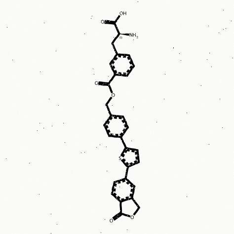 N[C@@H](Cc1cccc(C(=O)OCc2ccc(-c3ccc(-c4ccc5c(c4)COC5=O)s3)cc2)c1)C(=O)O